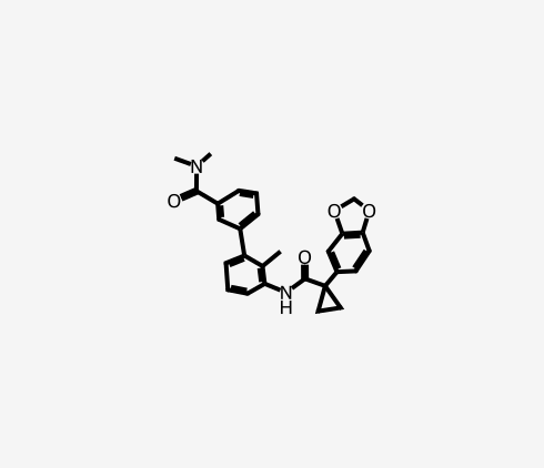 Cc1c(NC(=O)C2(c3ccc4c(c3)OCO4)CC2)cccc1-c1cccc(C(=O)N(C)C)c1